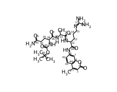 Cc1cc(=O)oc2cc(NC(=O)C(CCCN=C(N)N)NC(=O)C(C)NC(=O)C(CCC(N)=O)NC(=O)OC(C)(C)C)ccc12